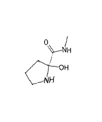 CNC(=O)C1(O)CCCN1